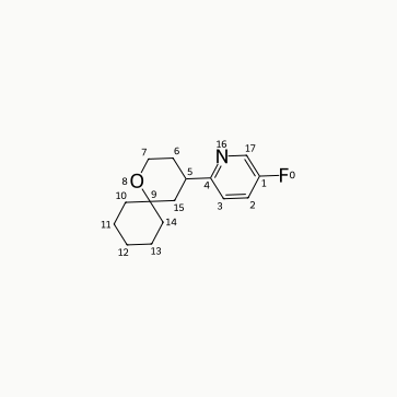 Fc1ccc(C2CCOC3(CCCCC3)C2)nc1